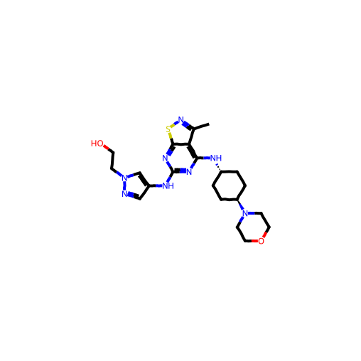 Cc1nsc2nc(Nc3cnn(CCO)c3)nc(N[C@H]3CC[C@H](N4CCOCC4)CC3)c12